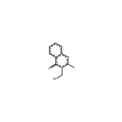 Cc1nc2ccccc2c(=O)n1CC(C)C